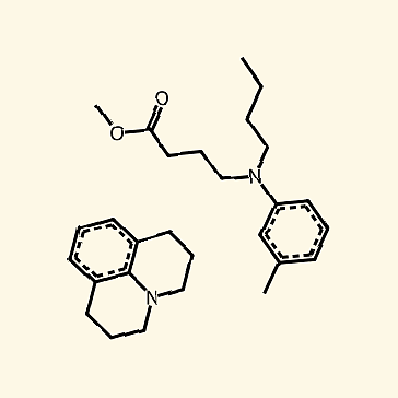 CCCCN(CCCC(=O)OC)c1cccc(C)c1.c1cc2c3c(c1)CCCN3CCC2